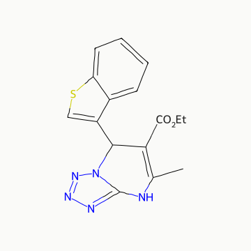 CCOC(=O)C1=C(C)Nc2nnnn2C1c1csc2ccccc12